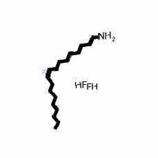 CCCCCCCC/C=C\CCCCCCCCN.F.F